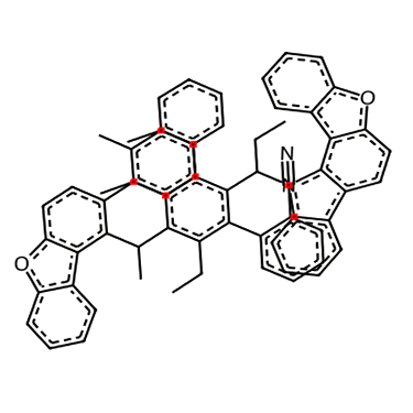 CCc1c(-c2ccccc2C)c(C(CC)n2c3ccccc3c3ccc4oc5ccccc5c4c32)c(-c2ccccc2C#N)c(CC)c1C(C)c1c(-c2ccccc2C)ccc2oc3ccccc3c12